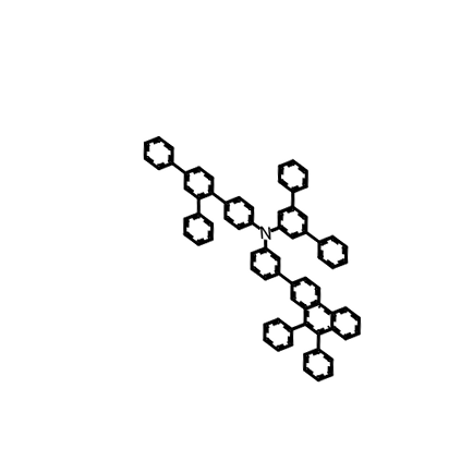 c1ccc(-c2cc(-c3ccccc3)cc(N(c3ccc(-c4ccc(-c5ccccc5)cc4-c4ccccc4)cc3)c3cccc(-c4ccc5c(c4)c(-c4ccccc4)c(-c4ccccc4)c4ccccc45)c3)c2)cc1